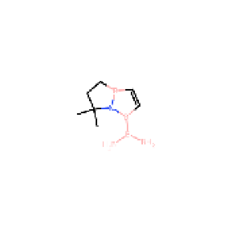 BB(B)B1C=CB2CCC(C)(C)N21